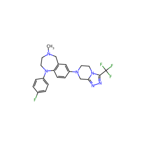 CN1CCN(c2ccc(F)cc2)c2ccc(N3CCn4c(nnc4C(F)(F)F)C3)cc2C1